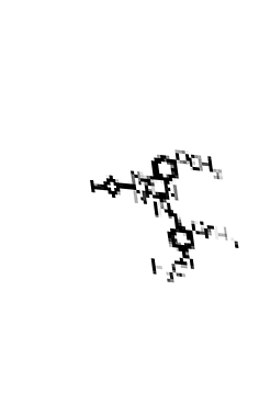 COc1ccc(CNc2nc3cc(OC)ccc3c3nc(C4CC(I)C4)nn23)c(OC)c1